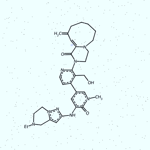 C=C1/C=C2/C(=O)N(c3nccc(-c4cc(Nc5cc6n(n5)CCN(CC)C6)c(=O)n(C)c4)c3CO)CCN2CCCCC1